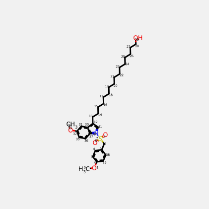 COc1ccc(CS(=O)(=O)n2cc(CCCCCCCCCCCCCCCCO)c3cc(OC)ccc32)cc1